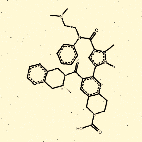 Cc1c(C(=O)N(CCN(C)C)c2ccccc2)cc(-c2cc3c(cc2C(=O)N2Cc4ccccc4C[C@H]2C)CN(C(=O)O)CC3)n1C